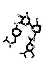 CCc1sc(C(=O)Nc2ccc(F)c(-c3cn(C)c(=O)c(Nc4ccc(CN(C)C(C)C)cc4)n3)n2)cc1C(C)C